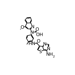 COc1cc(N(C(=O)O)c2ccc(C)c(NC(=O)c3csc4c(N)ncnc34)c2)nc2ccccc12